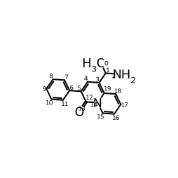 CC(N)c1cc(-c2ccccc2)c(=O)n2ccccc12